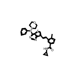 Cc1ccc(C(=O)NC2CC2)cc1/C=C/c1csc2c(N(c3ccccc3)N3CCOCC3)ncnc12